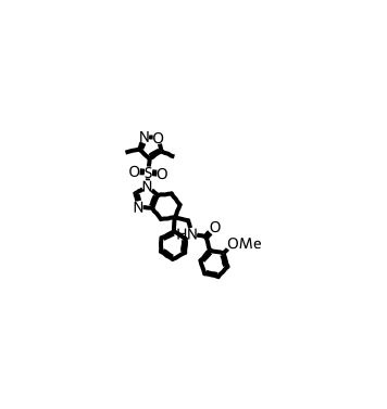 COc1ccccc1C(=O)NCC1(c2ccccc2)CCc2c(ncn2S(=O)(=O)c2c(C)noc2C)C1